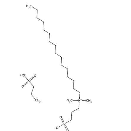 CCCCCCCCCCCCCCCC[N+](C)(C)CCCS(=O)(=O)[O-].CCCS(=O)(=O)O